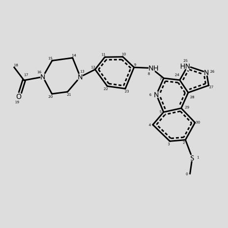 CSc1ccc2nc(Nc3ccc(N4CCN(C(C)=O)CC4)cc3)c3[nH]ncc3c2c1